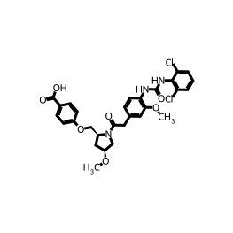 COc1cc(CC(=O)N2C[C@@H](OC)C[C@H]2COc2ccc(C(=O)O)cc2)ccc1NC(=O)Nc1c(Cl)cccc1Cl